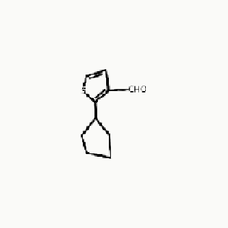 O=Cc1ccsc1C1CCCC1